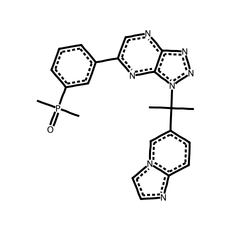 CC(C)(c1ccc2nccn2c1)n1nnc2ncc(-c3cccc(P(C)(C)=O)c3)nc21